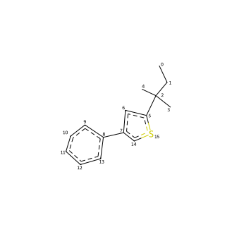 CCC(C)(C)c1cc(-c2ccccc2)cs1